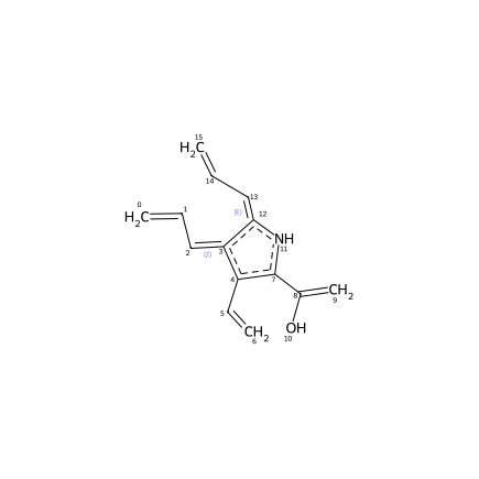 C=C/C=c1/c(C=C)c(C(=C)O)[nH]/c1=C/C=C